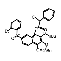 CCCCOc1c(OCCCC)c(OC(=O)C(Cl)c2ccccc2)c2cc([S+]([O-])c3ccccc3CC)ccc2c1OC(C)=O